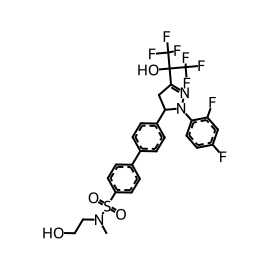 CN(CCO)S(=O)(=O)c1ccc(-c2ccc(C3CC(C(O)(C(F)(F)F)C(F)(F)F)=NN3c3ccc(F)cc3F)cc2)cc1